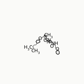 CCC(C)CCc1ccc(OCCN(C)C(=O)Cn2cc(NC(=O)CCOc3ccccc3)cn2)cc1